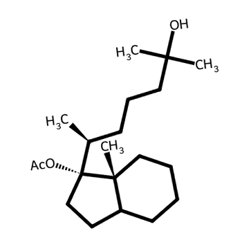 CC(=O)O[C@@]1([C@@H](C)CCCC(C)(C)O)CCC2CCCC[C@]21C